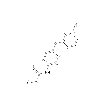 O=C(CCl)Nc1ccc(Oc2cccc(Cl)c2)cc1